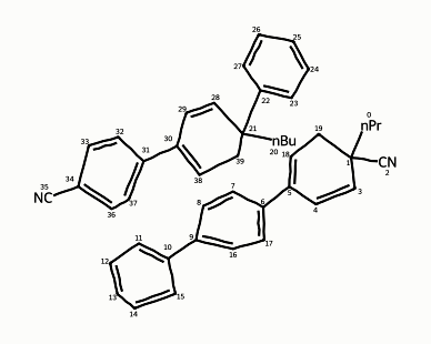 CCCC1(C#N)C=CC(c2ccc(-c3ccccc3)cc2)=CC1.CCCCC1(c2ccccc2)C=CC(c2ccc(C#N)cc2)=CC1